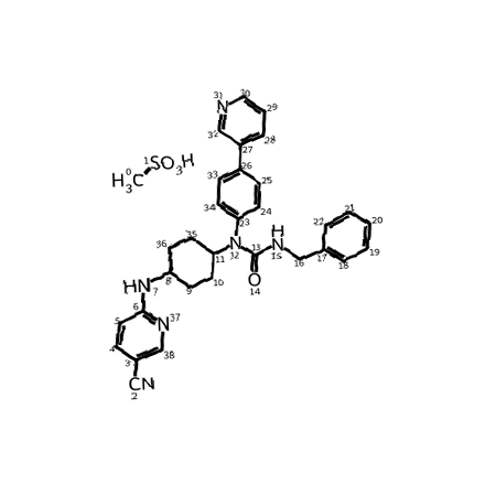 CS(=O)(=O)O.N#Cc1ccc(NC2CCC(N(C(=O)NCc3ccccc3)c3ccc(-c4cccnc4)cc3)CC2)nc1